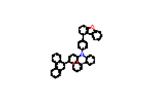 c1ccc(-c2ccccc2N(c2ccc(-c3cc4ccccc4c4ccccc34)cc2)c2ccc(-c3cccc4oc5ccccc5c34)cc2)cc1